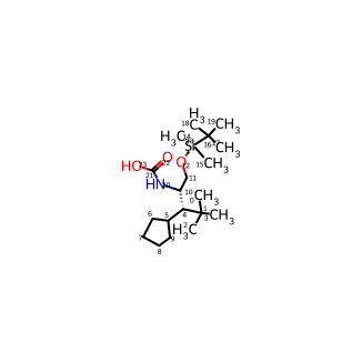 CC(C)(C)[C@H](C1CCCC1)C(CO[Si](C)(C)C(C)(C)C)NC(=O)O